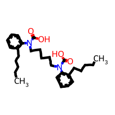 CCCCCc1ccccc1N(CCCCCN(C(=O)O)c1ccccc1CCCCC)C(=O)O